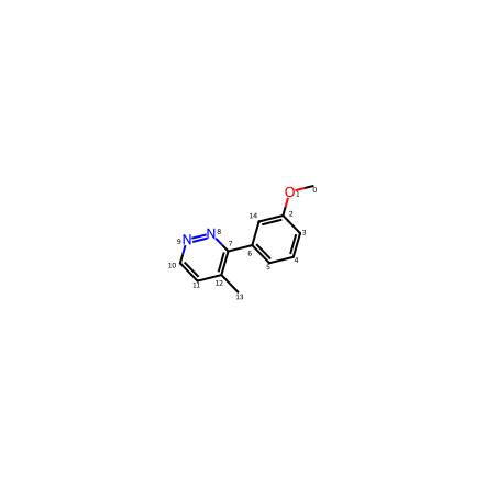 COc1cccc(-c2nnccc2C)c1